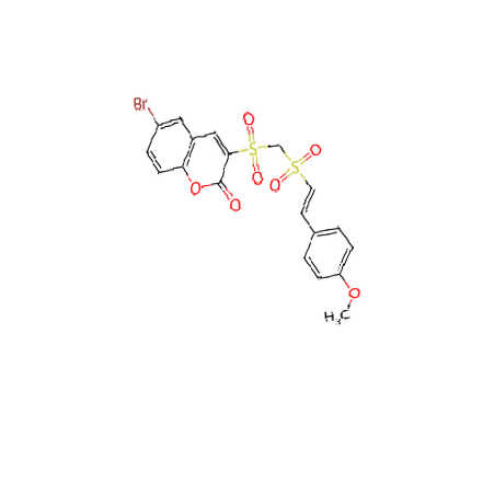 COc1ccc(C=CS(=O)(=O)CS(=O)(=O)c2cc3cc(Br)ccc3oc2=O)cc1